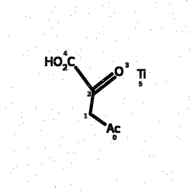 CC(=O)CC(=O)C(=O)O.[Ti]